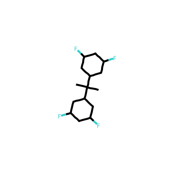 CC(C)(C1CC(F)CC(F)C1)C1CC(F)CC(F)C1